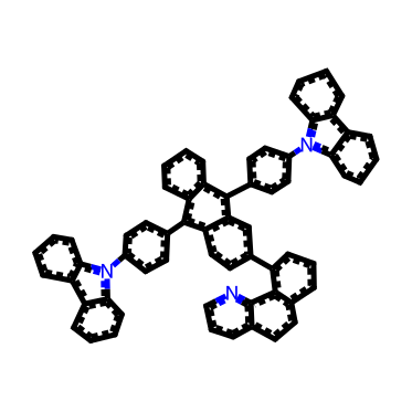 c1cnc2c(c1)ccc1cccc(-c3ccc4c(-c5ccc(-n6c7ccccc7c7ccccc76)cc5)c5ccccc5c(-c5ccc(-n6c7ccccc7c7ccccc76)cc5)c4c3)c12